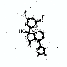 COc1cc(OC)nc(C2(O)OC(=O)c3c(-c4cccs4)ccnc32)n1